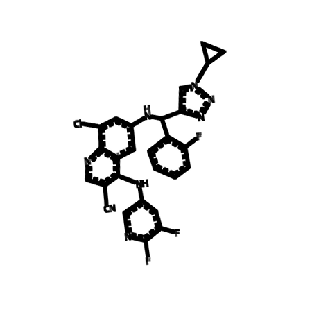 N#Cc1cnc2c(Cl)cc(NC(c3cn(C4CC4)nn3)c3ccccc3F)cc2c1Nc1cnc(F)c(F)c1